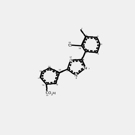 Cc1cccc(-c2nnc(-c3cccc(C(=O)O)c3)o2)c1Cl